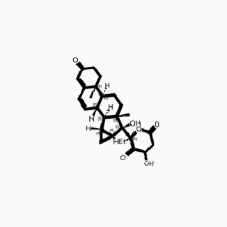 CC[C@]1([C@]2(O)[C@@H]3C[C@@H]3[C@H]3[C@@H]4C=CC5=CC(=O)CC[C@]5(C)[C@H]4CC[C@@]32C)OC(=O)CC(O)C1=O